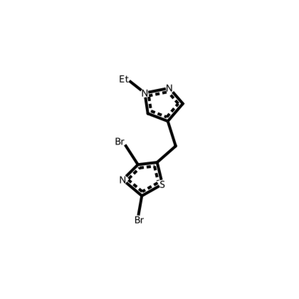 CCn1cc(Cc2sc(Br)nc2Br)cn1